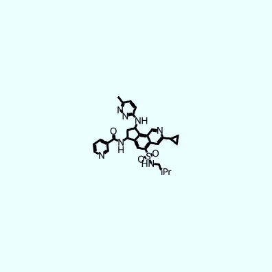 Cc1ccc(NC2CC(NC(=O)c3cccnc3)c3cc(S(=O)(=O)NCC(C)C)c4cc(C5CC5)ncc4c32)nn1